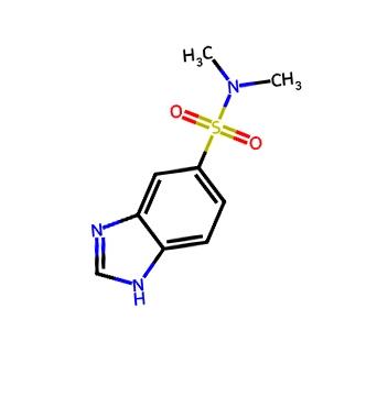 CN(C)S(=O)(=O)c1ccc2[nH]cnc2c1